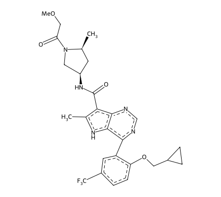 COCC(=O)N1C[C@H](NC(=O)c2c(C)[nH]c3c(-c4cc(C(F)(F)F)ccc4OCC4CC4)ncnc23)C[C@@H]1C